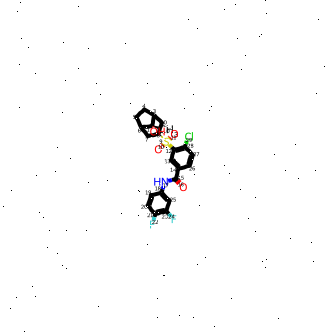 C[C@]1(O)C2CCC1C[C@@H](S(=O)(=O)c1cc(C(=O)Nc3ccc(F)c(F)c3)ccc1Cl)C2